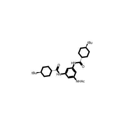 CC(=O)Nc1cc(NC(=O)[C@H]2CC[C@H](C(C)(C)C)CC2)cc(NC(=O)[C@H]2CC[C@H](C(C)(C)C)CC2)c1